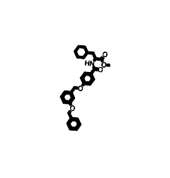 COC(=O)C(CC1CCCCC1)NC(=O)c1ccc(OCc2cccc(OCc3ccccc3)c2)cc1